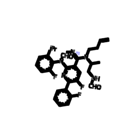 C=CCCN(/C(=N/C)c1cc(F)c(-c2ccccc2F)nc1N(C=O)c1c(F)cccc1C(C)C)C(C)CNC=O